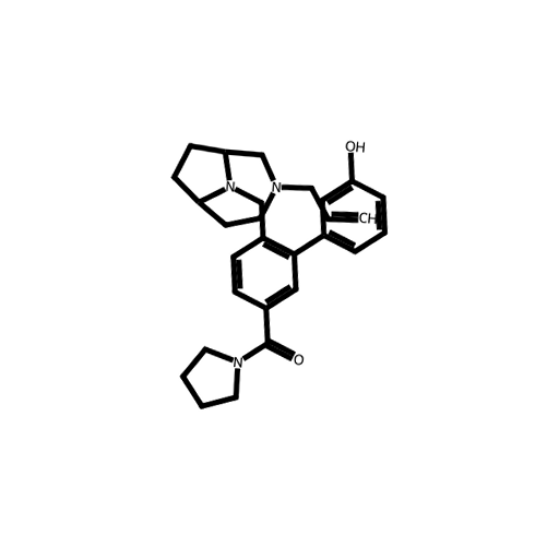 C=CCN1CCC2CCC(C1)N2Cc1ccc(C(=O)N2CCCC2)cc1-c1cccc(O)c1